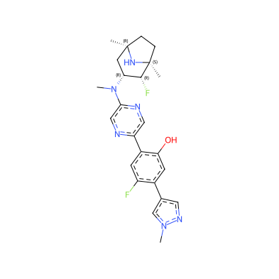 CN(c1cnc(-c2cc(F)c(-c3cnn(C)c3)cc2O)cn1)[C@@H]1C[C@@]2(C)CC[C@](C)(N2)[C@@H]1F